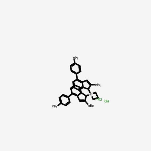 CCCCC1=Cc2c(-c3ccc(CCC)cc3)cccc2[CH]1[Hf]1([CH]2C(CCCC)=Cc3c(-c4ccc(CCC)cc4)cccc32)[CH2]C[CH2]1.Cl.Cl